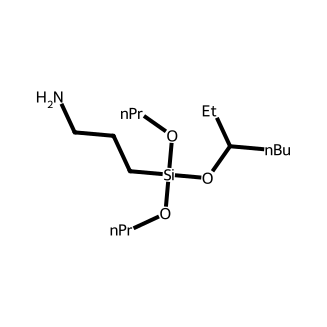 CCCCC(CC)O[Si](CCCN)(OCCC)OCCC